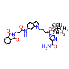 CC(C)(C)[Si](C)(C)O[C@H](CCCn1ccc2ccc(NC(=O)CCN3C(=O)c4ccccc4C3=O)cc21)n1cnc(C(N)=O)c1